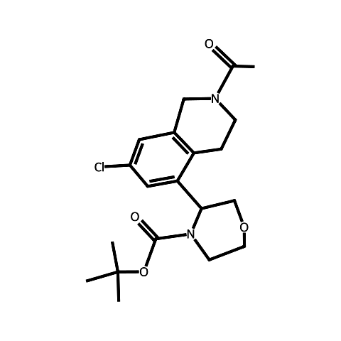 CC(=O)N1CCc2c(cc(Cl)cc2C2COCCN2C(=O)OC(C)(C)C)C1